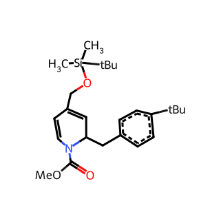 COC(=O)N1C=CC(CO[Si](C)(C)C(C)(C)C)=CC1Cc1ccc(C(C)(C)C)cc1